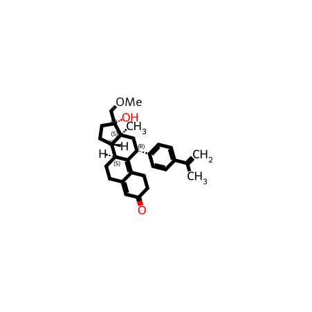 C=C(C)c1ccc([C@H]2C[C@@]3(C)[C@@H](CC[C@@]3(O)COC)[C@@H]3CCC4=CC(=O)CCC4=C32)cc1